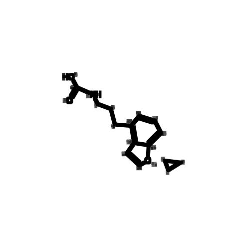 C1CC1.O=C(O)NCCCc1cccc2occc12